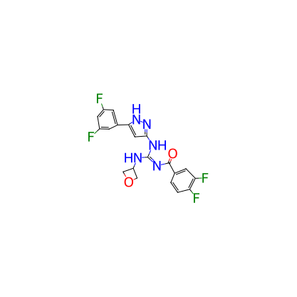 O=C(/N=C(\Nc1cc(-c2cc(F)cc(F)c2)[nH]n1)NC1COC1)c1ccc(F)c(F)c1